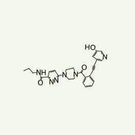 CCCNC(=O)c1ccc(N2CCN(C(=O)c3ccccc3C#Cc3cncc(O)c3)CC2)nn1